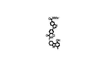 CNC(=O)c1ccc2c(c1)ncn2-c1ccc(C(=O)NC[C@H]2CCc3nn4c(C)ccc(O)c4c3C2)c(Cl)c1